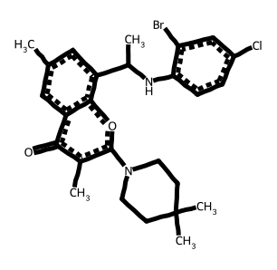 Cc1cc(C(C)Nc2ccc(Cl)cc2Br)c2oc(N3CCC(C)(C)CC3)c(C)c(=O)c2c1